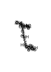 CS(=O)(=O)n1ccc(C(=O)N[C@@H](CCOCCCC(=O)NCCCCCCNc2ccc3c(c2)C(=O)N(C2CCC(=O)NC2=O)C3=O)C(=O)Nc2nc(-c3ccccc3)cs2)c1